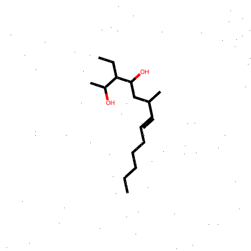 CCCCCC=CC(C)CC(O)C(CC)C(C)O